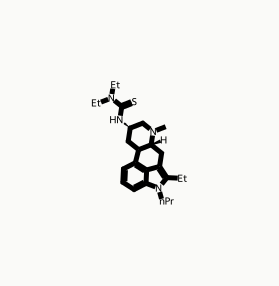 CCCn1c(CC)c2c3c(cccc31)C1C[C@H](NC(=S)N(CC)CC)CN(C)[C@@H]1C2